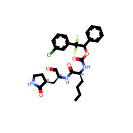 CCCC[C@H](NC(=O)OC(c1ccccc1)C(F)(F)c1cccc(Cl)c1)C(=O)N[C@H](C=O)C[C@@H]1CCNC1=O